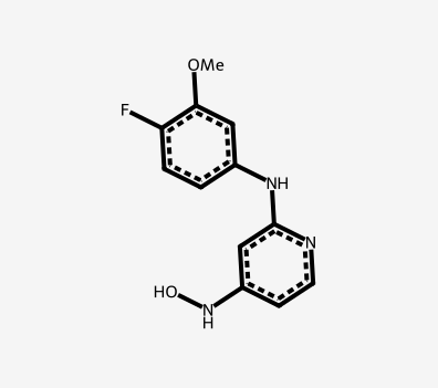 COc1cc(Nc2cc(NO)ccn2)ccc1F